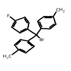 [CH2]c1ccc(C(Br)(c2ccc([CH2])cc2)c2ccc(F)cc2)cc1